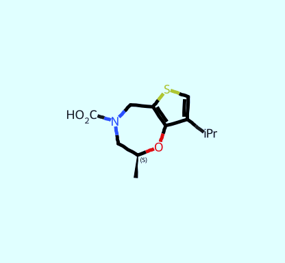 CC(C)c1csc2c1O[C@@H](C)CN(C(=O)O)C2